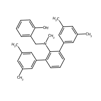 Cc1cc(C)cc(-c2cccc(-c3cc(C)cc(C)c3)c2N(C)Cc2ccccc2O)c1